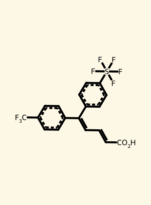 O=C(O)C=CC=C(c1ccc(C(F)(F)F)cc1)c1ccc(S(F)(F)(F)(F)F)cc1